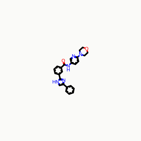 O=C(Nc1ccc(N2CCOCC2)nc1)c1cccc(-c2nc(-c3ccccc3)c[nH]2)c1